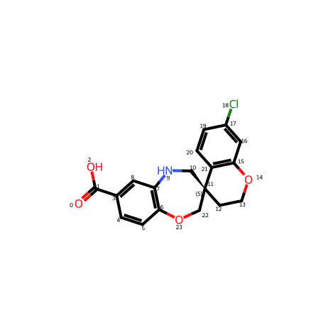 O=C(O)c1ccc2c(c1)NC[C@@]1(CCOc3cc(Cl)ccc31)CO2